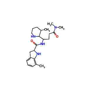 Cc1cccc2c1NC(C(=O)NC(CCC(=O)N(C)C)C1NCCCC1C)C2